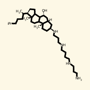 CC(C)CCC[C@@H](C)[C@H]1CCC2C3C(CC[C@@]21C)[C@@]1(C)CC[C@H](NCCCNCCCCNCCCN)C[C@@H]1C[C@H]3O